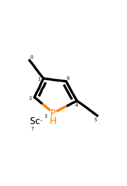 Cc1c[pH]c(C)c1.[Sc]